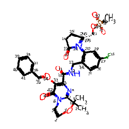 CC1(C)OCCn2c1nc(C(=O)NCc1ccc(F)cc1N1C(=O)CC[C@@H]1COS(C)(=O)=O)c(OCc1ccccc1)c2=O